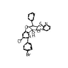 O=[AsH]1C(Sc2ccccn2)C(c2ccccc2)C2Oc3cc(Cl)c(-c4ccc(Br)cc4)nc3C21O